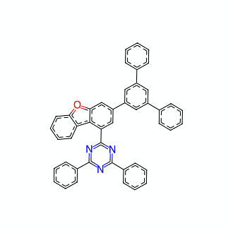 c1ccc(-c2cc(-c3ccccc3)cc(-c3cc(-c4nc(-c5ccccc5)nc(-c5ccccc5)n4)c4c(c3)oc3ccccc34)c2)cc1